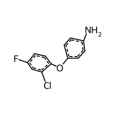 Nc1ccc(Oc2ccc(F)cc2Cl)cc1